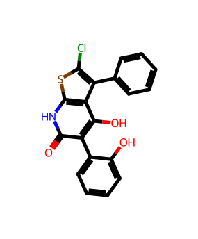 O=c1[nH]c2sc(Cl)c(-c3ccccc3)c2c(O)c1-c1ccccc1O